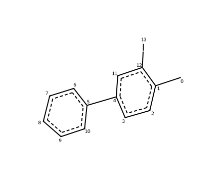 Cc1ccc(-c2ccccc2)cc1I